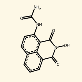 NC(=O)Nc1ccc2cccc3c2c1C(=O)N(O)C3=O